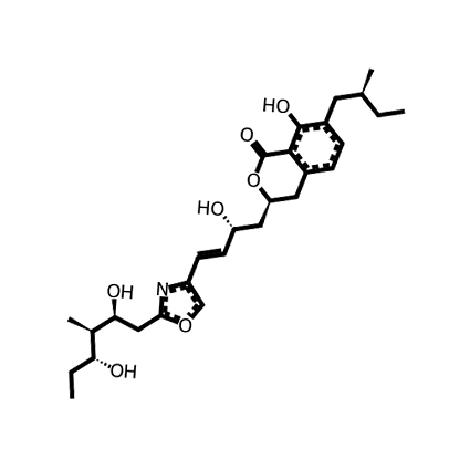 CC[C@H](C)Cc1ccc2c(c1O)C(=O)O[C@H](C[C@@H](O)/C=C/c1coc(C[C@H](O)[C@H](C)[C@H](O)CC)n1)C2